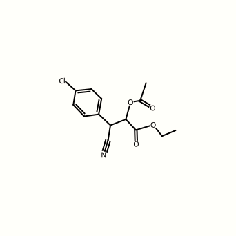 CCOC(=O)C(OC(C)=O)C(C#N)c1ccc(Cl)cc1